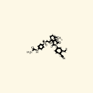 CC(=O)Nc1ccc(S(=O)(=O)CCC23CCC(C)(O2)[C@@H]2C(=O)N(c4ccc(C#N)c(CF)c4)C(=O)[C@@H]23)cc1